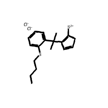 CCCCSc1ccccc1C(C)(C)C1=[C]([Ti+2])CC=C1.[Cl-].[Cl-]